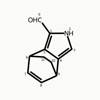 O=Cc1[nH]cc2c1C1C=CC2CC1